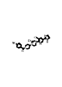 CC[C@H]1CN(c2ncc(-c3ncc[nH]3)cc2Cl)CCN1C1CCN(C(=O)c2ccc(C#N)cc2)CC1